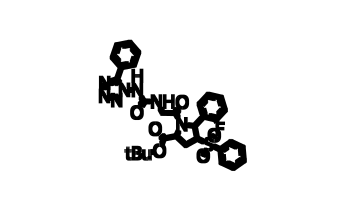 CC(C)(C)OC(=O)C1CC(S(=O)(=O)c2ccccc2)C(c2ccccc2F)N1C(=O)CNC(=O)Nn1nnnc1-c1ccccc1